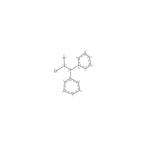 [O-][S+](Cl)P(c1ccccc1)c1ccccc1